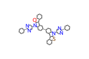 c1ccc(-c2ncc(-n3c4ccc(-c5ccc6c(c5)c5c7ccccc7sc5n6-c5cnc(-c6ccccc6)nc5)cc4c4c5ccccc5oc43)cn2)cc1